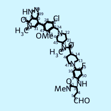 CNC(=O)C(CCC=O)Nc1ccc(N2CCC(C(=O)N(C)C3CCN(Cc4c(Cl)cc(-c5cn(C)c(=O)c6[nH]ncc56)cc4OC)CC3)CC2)c(F)c1